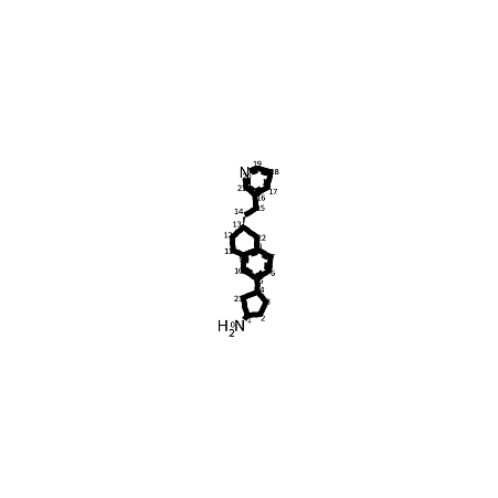 NC1CCC(c2ccc3c(c2)CC[C@H](CCc2cccnc2)C3)C1